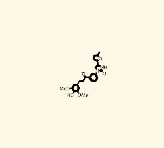 COc1cc(C=CC(=O)c2cccc(-n3cc(-c4ccc(C)o4)[nH]c3=O)c2)cc(OC)c1O